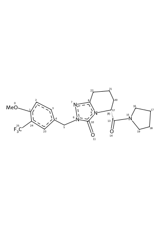 COc1ccc(Cn2nc3n(c2=O)[C@@H](C(=O)N2CCCC2)CCC3)cc1C(F)(F)F